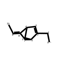 [CH2]CC1=CC2CC1CC2=CC